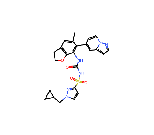 Cc1cc2c(c(NC(=O)NS(=O)(=O)c3ccn(CC4CC4)n3)c1-c1ccn3nccc3c1)OCC2